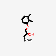 CNCC(O)COc1cccc(C)c1C